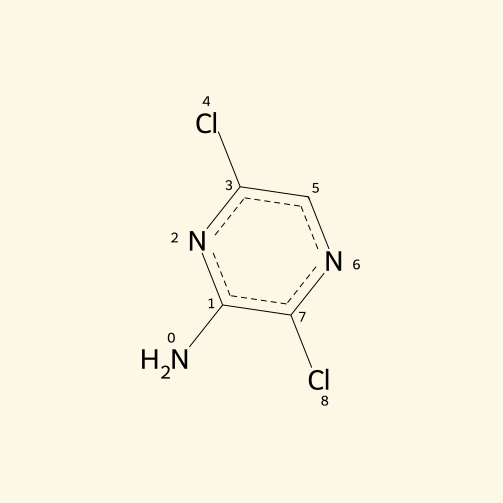 Nc1nc(Cl)cnc1Cl